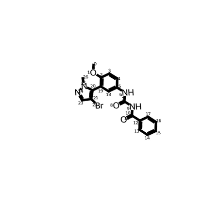 COc1ccc(NC(=O)NC(=O)c2ccccc2)cc1-c1c(Br)cnn1C